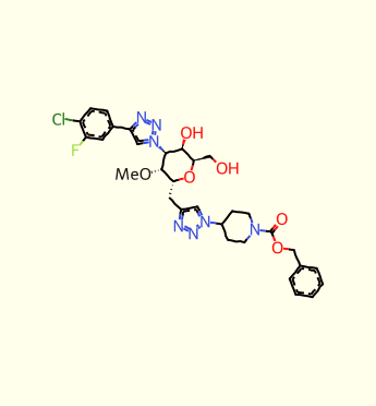 CO[C@@H]1[C@@H](n2cc(-c3ccc(Cl)c(F)c3)nn2)[C@@H](O)[C@@H](CO)O[C@@H]1Cc1cn(C2CCN(C(=O)OCc3ccccc3)CC2)nn1